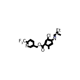 CCN(C)/C=N/c1cc(C)c(C(=O)OCc2ccc(C(F)(F)F)nc2)cc1Cl